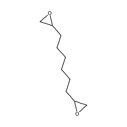 C(CCCC1CO1)CCC1CO1